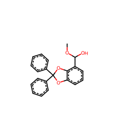 COC(O)c1cccc2c1OC(c1ccccc1)(c1ccccc1)O2